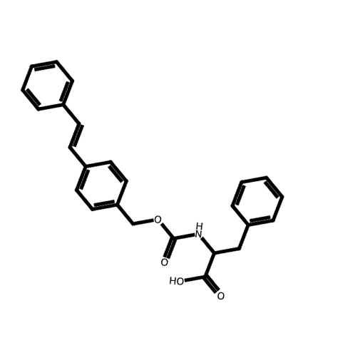 O=C(NC(Cc1ccccc1)C(=O)O)OCc1ccc(C=Cc2ccccc2)cc1